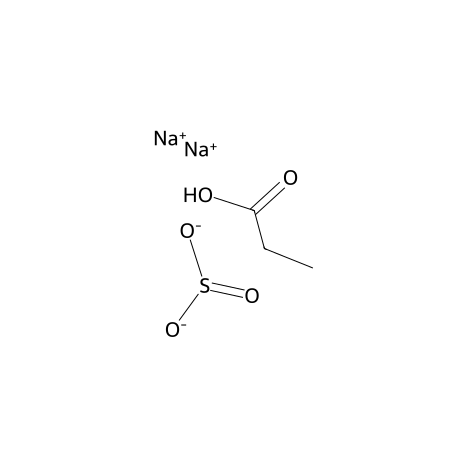 CCC(=O)O.O=S([O-])[O-].[Na+].[Na+]